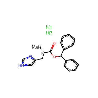 CN[C@@H](Cc1c[nH]cn1)C(=O)OC(c1ccccc1)c1ccccc1.Cl.Cl